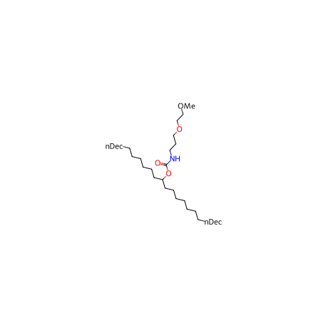 CCCCCCCCCCCCCCCCCC(CCCCCCCCCCCCCCCC)OC(=O)NCCCOCCOC